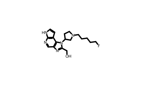 OCc1nc2cnc3[nH]ccc3c2n1C1CCN(CCCCCF)C1